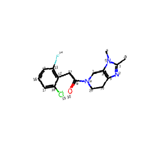 Cc1nc2c(n1C)CN(C(=O)Cc1c(F)cccc1Cl)CC2